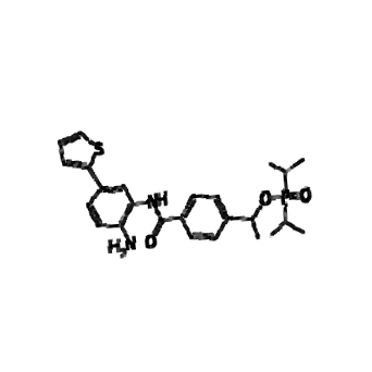 CC(OP(=O)(C(C)C)C(C)C)c1ccc(C(=O)Nc2cc(-c3cccs3)ccc2N)cc1